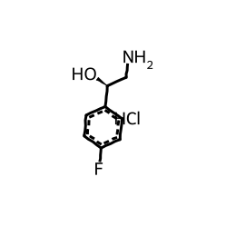 Cl.NC[C@H](O)c1ccc(F)cc1